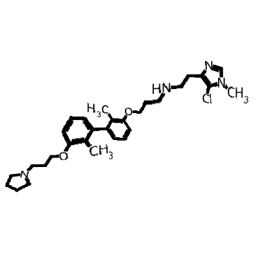 Cc1c(OCCCNCCc2ncn(C)c2Cl)cccc1-c1cccc(OCCCN2CCCC2)c1C